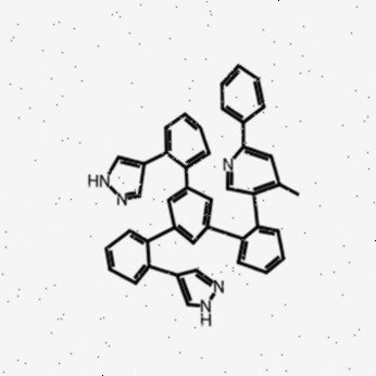 Cc1cc(-c2ccccc2)ncc1-c1ccccc1-c1cc(-c2ccccc2-c2cn[nH]c2)cc(-c2ccccc2-c2cn[nH]c2)c1